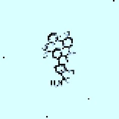 C=C(Nc1ccc(Cl)c(-c2ccccn2)c1)c1ccc(S(C)(=O)=O)cc1-c1ccc(C(N)=O)c(Cl)c1